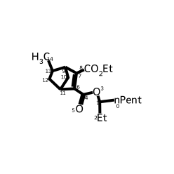 CCCCCC(CC)OC(=O)C1=C(C(=O)OCC)C2CC1CC2C